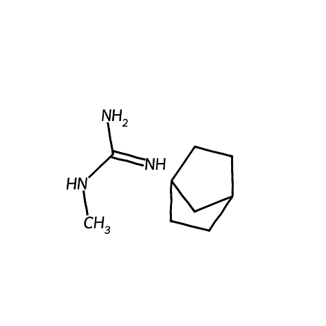 C1CC2CCC1C2.CNC(=N)N